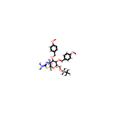 COc1ccc(COC2C(OCc3ccc(OC)cc3)[C@@H](CO[Si](C)(C)C(C)(C)C)O[C@@H]3SC(N(C)C)=N[C@H]23)cc1